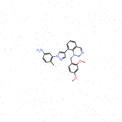 COc1ccc(CN2CN=Cc3cccc(-c4cnn(-c5cc(N)ccc5C)c4)c32)c(OC)c1